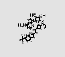 CCN(C[C@H]1O[C@@H](n2cnc3c(N)ncnc32)[C@H](O)[C@@H]1O)C1CC(CCC2=Nc3cc(C(C)(C)C)ccc3C2)C1